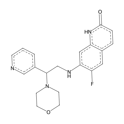 O=c1ccc2cc(F)c(NCC(c3cccnc3)N3CCOCC3)cc2[nH]1